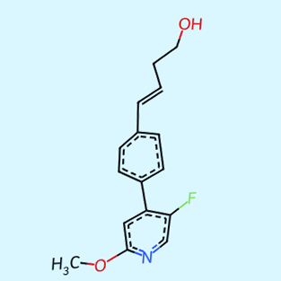 COc1cc(-c2ccc(C=CCCO)cc2)c(F)cn1